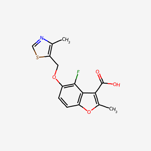 Cc1ncsc1COc1ccc2oc(C)c(C(=O)O)c2c1F